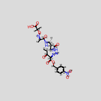 C/C(=N/OC(C)(C)C(=O)O)C(=O)N[C@H](C)[C@H]1C(=O)N[C@@H]1C(C)C(=O)C(=[N+]=[N-])C(=O)OCc1ccc([N+](=O)[O-])cc1